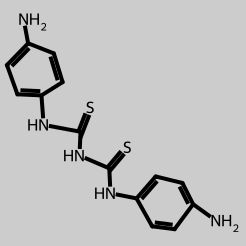 Nc1ccc(NC(=S)NC(=S)Nc2ccc(N)cc2)cc1